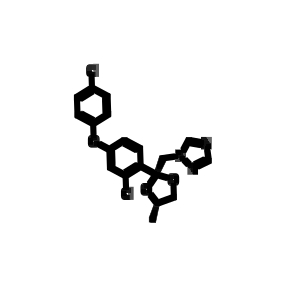 C[C@@H]1CO[C@@](Cn2cncn2)(c2ccc(Oc3ccc(Cl)cc3)cc2Cl)O1